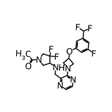 CC(=O)N1CC(NCc2nccnc2N2CC(Oc3cc(F)cc(C(F)F)c3)C2)C(F)(F)C1